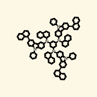 c1ccc(-n2c3ccc(-c4cccc5ccccc45)cc3c3cc(N(c4cc(N(c5ccc6c(c5)c5cc(-c7cccc8ccccc78)ccc5n6-c5ccccc5)c5cccc6ccccc56)cc(N(c5ccc6c(c5)c5cc(-c7cccc8ccccc78)ccc5n6-c5ccccc5)c5cccc6ccccc56)c4)c4cccc5ccccc45)ccc32)cc1